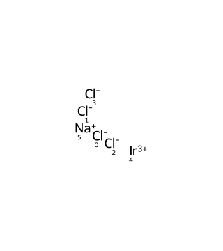 [Cl-].[Cl-].[Cl-].[Cl-].[Ir+3].[Na+]